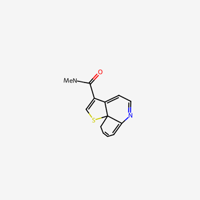 CNC(=O)C1=CSC23CC=CC=C2N=CC=C13